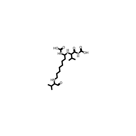 CC(C)C(C=O)NCCCCCCCC(NC(=O)O)NC(C(=O)NC(=O)O)C(C)C